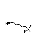 CS(F)(F)CCCCCC#N